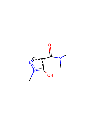 CN(C)C(=O)c1[c]nn(C)c1O